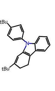 CC(C)(C)C1=Cc2c(c3ccccc3n2-c2ccc(C(C)(C)C)cc2)CC1